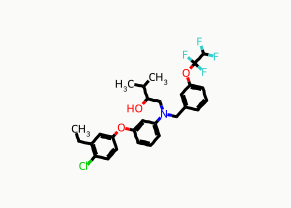 CCc1cc(Oc2cccc(N(Cc3cccc(OC(F)(F)C(F)F)c3)CC(O)C(C)C)c2)ccc1Cl